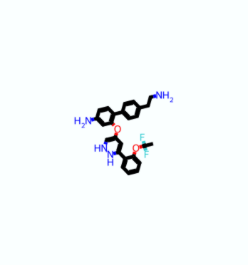 CC(F)(F)Oc1ccccc1C1=CC(Oc2cc(N)ccc2-c2ccc(CCN)cc2)=CNN1